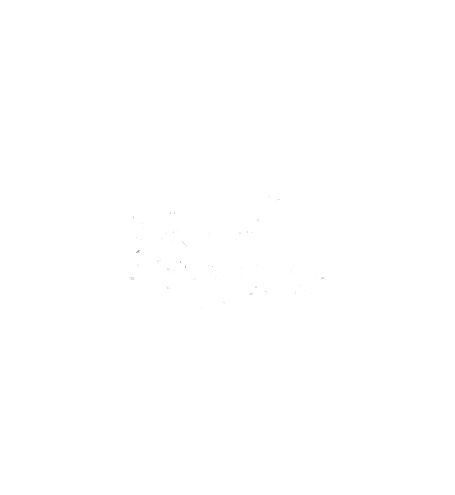 c1cc(-c2ccc3ccccc3c2)cc(N(c2cccc(-c3ccc4c(c3)oc3ccccc34)c2)c2cccc3oc4ccccc4c23)c1